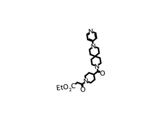 CCOC(=O)CC(=O)N1CCC(C(=O)N2CCC3(CC2)CCN(c2ccncc2)CC3)CC1